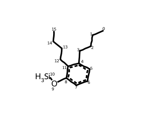 CCCCc1cccc(O[SiH3])c1CCCC